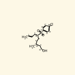 CC=CCN(CC[C@@H](C)CCO)S(=O)(=O)c1ccc(Cl)cc1